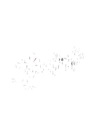 COc1ccc(CN(c2nc(-c3ccccc3)nc3ccccc23)C(O)C(=O)NC(C(=O)NC(NC(=N)N)C(=O)NC(NC(=N)N)C(=O)NC(NC(=N)N)C(=O)NC(NC(=N)N)C(N)=O)c2ccccc2)c(OC)c1